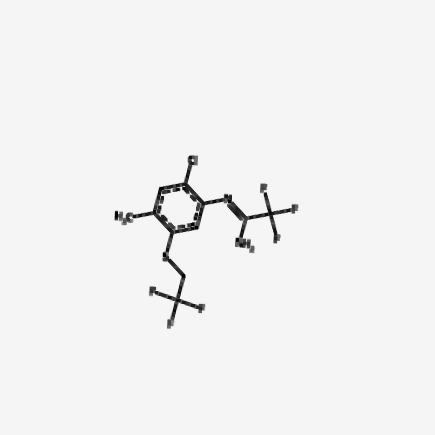 Cc1cc(Cl)c(/N=C(\N)C(F)(F)F)cc1SCC(F)(F)F